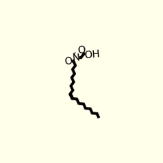 CCCCCCCC/C=C\CCCCCCCC(=O)N(C)CC(=O)O